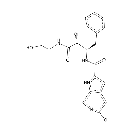 O=C(N[C@H](Cc1ccccc1)[C@@H](O)C(=O)NCCO)c1cc2cc(Cl)ncc2[nH]1